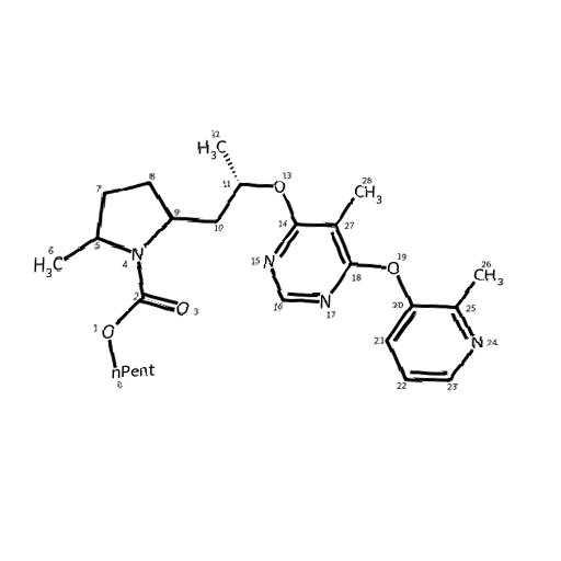 CCCCCOC(=O)N1C(C)CCC1C[C@H](C)Oc1ncnc(Oc2cccnc2C)c1C